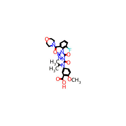 COc1ccc(N(C(=O)n2nnn(-c3c(F)cccc3C(=O)N3CCOCC3)c2=O)C(C)C)cc1C(=O)O